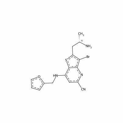 C[C@H](N)Cc1sc2c(NCc3ccco3)cc(C#N)nc2c1Br